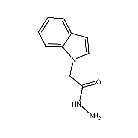 NNC(=O)Cn1ccc2ccccc21